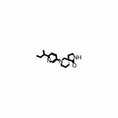 CCC(C)c1ccc(N2CCC[C@@]3(CCNC3=O)C2)cn1